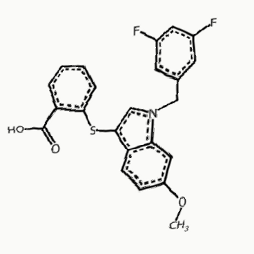 COc1ccc2c(Sc3ccccc3C(=O)O)cn(Cc3cc(F)cc(F)c3)c2c1